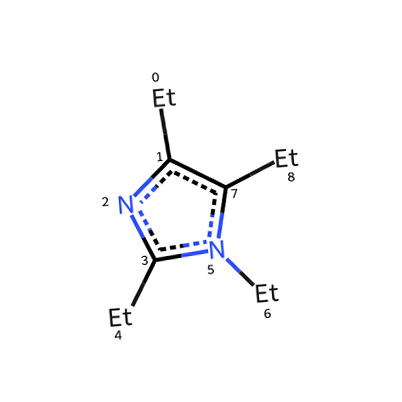 CCc1nc(CC)n(CC)c1CC